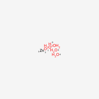 O.O.O.O.O.[Zn]